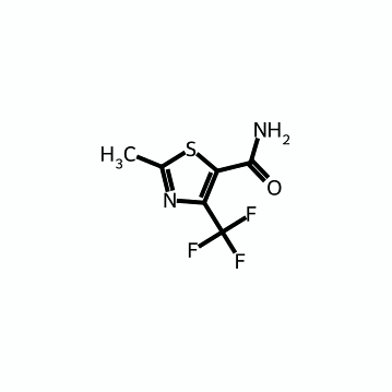 Cc1nc(C(F)(F)F)c(C(N)=O)s1